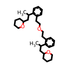 CC(CC1CCCCO1)c1ccccc1CCOCCc1ccccc1C(C)CC1CCCCO1